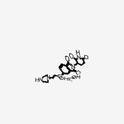 O=C1CCC(N2C(=O)c3ccc(OCCN4CCNCC4)cc3C2=O)C(=O)N1.O=CO